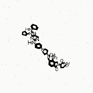 CN(Cc1ccc2c(c1Br)CN(C1CCC(=O)NC1=O)C2=O)C1CCN(c2ccc(Nc3ncc4nc(Nc5ccccc5)n(C5CCCC5)c4n3)cc2)CC1